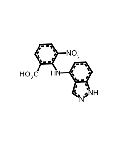 O=C(O)c1cccc([N+](=O)[O-])c1Nc1cccc2[nH]ncc12